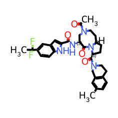 CC(=O)N1CC[C@H]2CC[C@@H](C(=O)N3CCc4ccc(C)cc4C3)N2C(=O)[C@@H](NC(=O)c2cc3cc(C(C)(F)F)ccc3[nH]2)C1